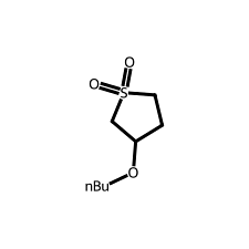 CCCCOC1CCS(=O)(=O)C1